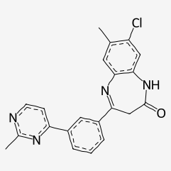 Cc1nccc(-c2cccc(C3=Nc4cc(C)c(Cl)cc4NC(=O)C3)c2)n1